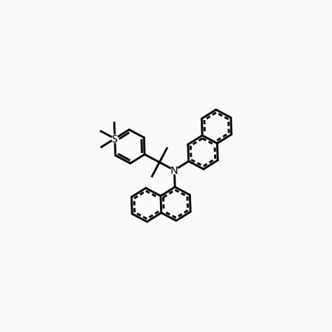 CC(C)(C1=CC=S(C)(C)(C)C=C1)N(c1ccc2ccccc2c1)c1cccc2ccccc12